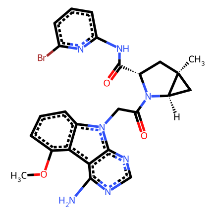 COc1cccc2c1c1c(N)ncnc1n2CC(=O)N1[C@H](C(=O)Nc2cccc(Br)n2)C[C@@]2(C)C[C@@H]12